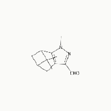 Cn1nc(C=O)c2c1C1CC(C2)C1(C)C